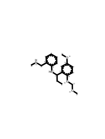 CCC(Pc1ccccc1CNC)c1cc(OC)ccc1OCOC